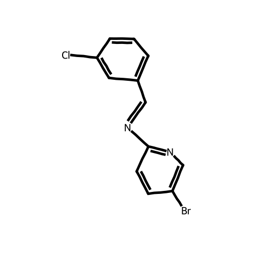 Clc1cccc(/C=N/c2ccc(Br)cn2)c1